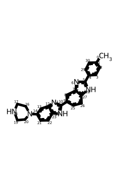 Cc1ccc(-c2nc3cc(-c4nc5cc(N6CCNCC6)ccc5[nH]4)ccc3[nH]2)cc1